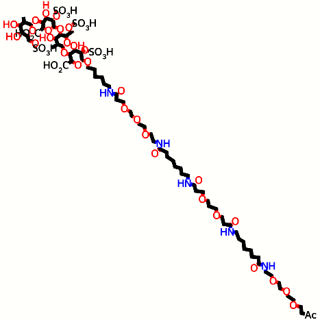 CC(=O)CCOCCOCCOCCNC(=O)CCCCCCCNC(=O)CCOCCCOCCC(=O)NCCCCCCCC(=O)NCCOCCOCCOCCC(=O)NCCCCCCOC1OC(C(=O)O)C(OC2OC(COS(=O)(=O)O)C(OC3OC(C(=O)O)C(OC4OC(COS(=O)(=O)O)C(O)C(O)C4C)C(O)C3OS(=O)(=O)O)C(O)C2C)C(O)C1OS(=O)(=O)O